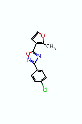 Cc1occc1-c1nc(-c2ccc(Cl)cc2)no1